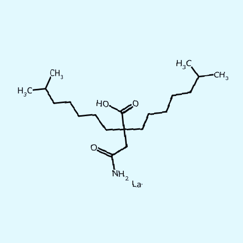 CC(C)CCCCCC(CCCCCC(C)C)(CC(N)=O)C(=O)O.[La]